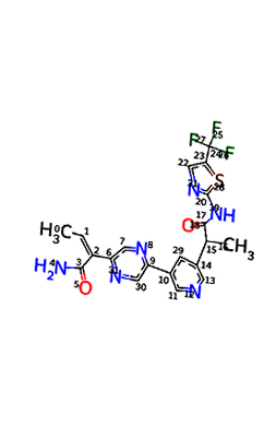 CC=C(C(N)=O)c1cnc(-c2cncc(C(C)C(=O)Nc3ncc(C(F)(F)F)s3)c2)cn1